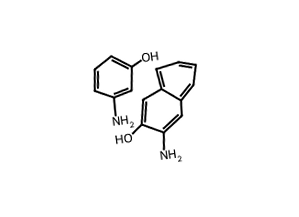 Nc1cc2ccccc2cc1O.Nc1cccc(O)c1